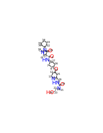 Cc1c(C(=O)Nc2ccc(Oc3ccnc(CNC(=O)N(C)CCO)c3)cc2)c(=O)n(-c2ccccc2)n1C